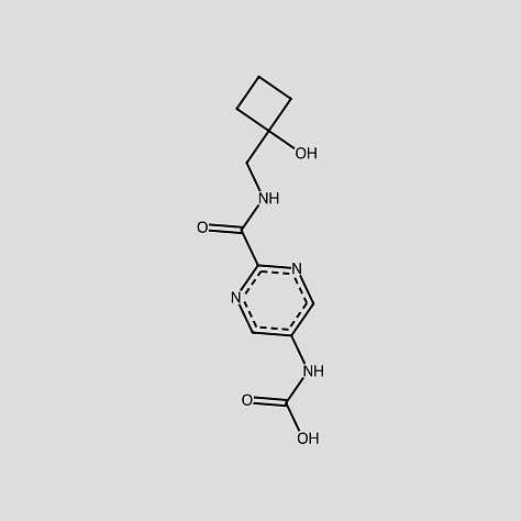 O=C(O)Nc1cnc(C(=O)NCC2(O)CCC2)nc1